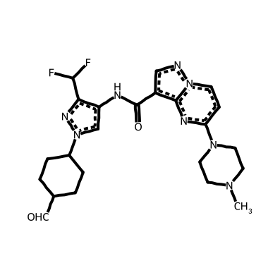 CN1CCN(c2ccn3ncc(C(=O)Nc4cn(C5CCC(C=O)CC5)nc4C(F)F)c3n2)CC1